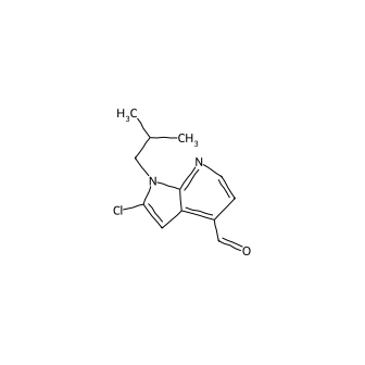 CC(C)Cn1c(Cl)cc2c(C=O)ccnc21